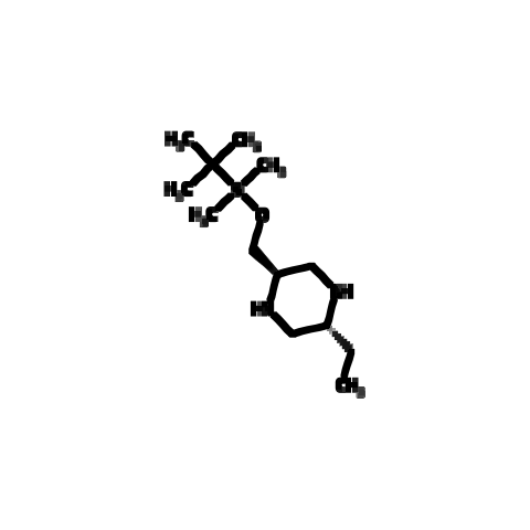 CC[C@@H]1CN[C@@H](CO[Si](C)(C)C(C)(C)C)CN1